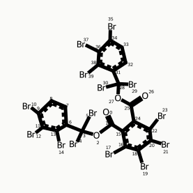 O=C(OC(Br)(Br)c1ccc(Br)c(Br)c1Br)c1c(Br)c(Br)c(Br)c(Br)c1C(=O)OC(Br)(Br)c1ccc(Br)c(Br)c1Br